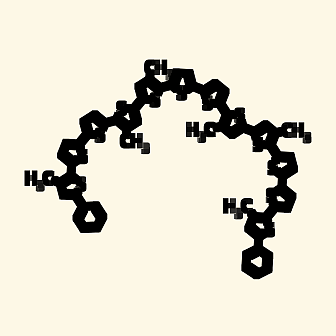 Cc1cc(-c2ccccc2)sc1-c1ccc(-c2ccc(-c3sc(-c4cc(C)c(-c5ccc(-c6ccc(-c7sc(-c8cc(C)c(-c9ccc(-c%10ccc(-c%11sc(-c%12ccccc%12)cc%11C)s%10)s9)s8)cc7C)s6)s5)s4)cc3C)s2)s1